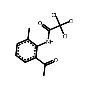 CC(=O)c1cccc(C)c1NC(=O)C(Cl)(Cl)Cl